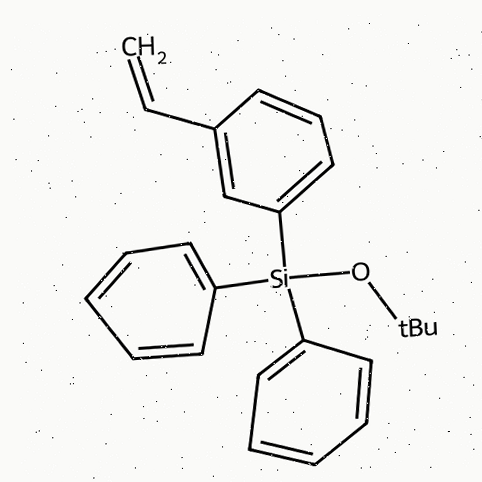 C=Cc1cccc([Si](OC(C)(C)C)(c2ccccc2)c2ccccc2)c1